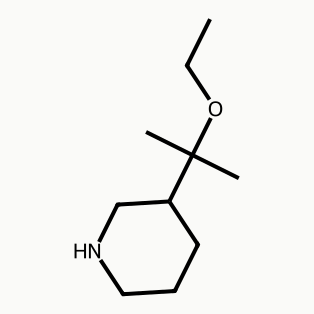 CCOC(C)(C)C1CCCNC1